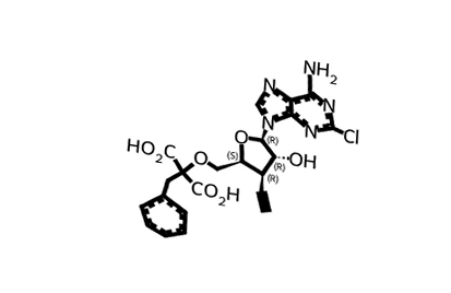 C#C[C@@H]1[C@@H](O)[C@H](n2cnc3c(N)nc(Cl)nc32)O[C@@H]1COC(Cc1ccccc1)(C(=O)O)C(=O)O